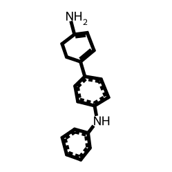 NC1=CC=C(c2ccc(Nc3ccccc3)cc2)CC1